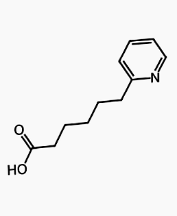 O=C(O)CCCCCc1ccccn1